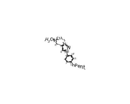 CCCCCc1ccc(-n2cc(CN(C)C)nn2)cc1